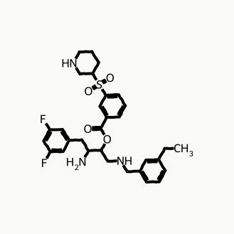 CCc1cccc(CNCC(OC(=O)c2cccc(S(=O)(=O)C3CCCNC3)c2)C(N)Cc2cc(F)cc(F)c2)c1